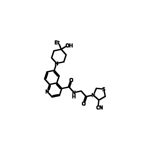 CCC1(O)CCN(c2ccc3nccc(C(=O)NCC(=O)N4CSCC4C#N)c3c2)CC1